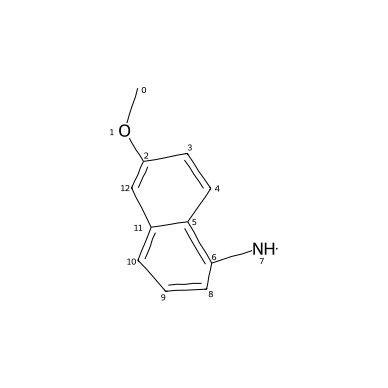 COc1ccc2c([NH])cccc2c1